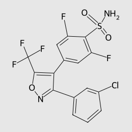 NS(=O)(=O)c1c(F)cc(-c2c(-c3cccc(Cl)c3)noc2C(F)(F)F)cc1F